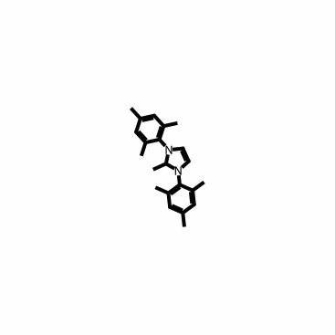 Cc1cc(C)c(N2C=CN(c3c(C)cc(C)cc3C)C2C)c(C)c1